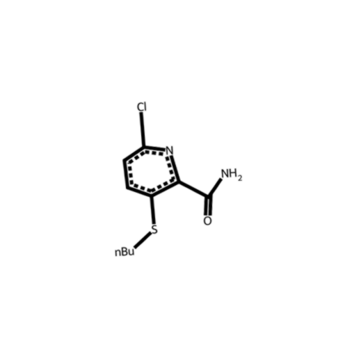 CCCCSc1ccc(Cl)nc1C(N)=O